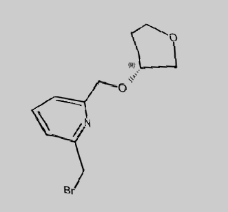 BrCc1cccc(CO[C@@H]2CCOC2)n1